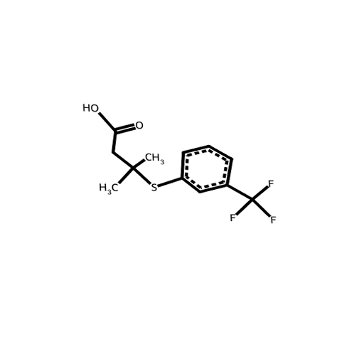 CC(C)(CC(=O)O)Sc1cccc(C(F)(F)F)c1